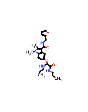 CCCNC(=O)C(NCCC)Oc1ccc2c(c1)c(C(=O)NCc1ccco1)c(C)n2C